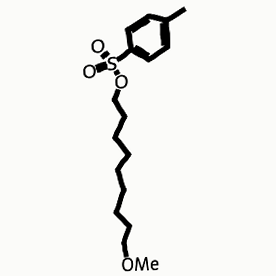 COCCCCCCCCCOS(=O)(=O)c1ccc(C)cc1